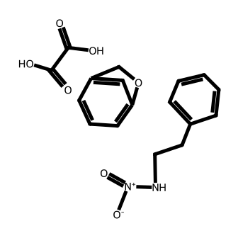 O=C(O)C(=O)O.O=[N+]([O-])NCCc1ccccc1.c1cc2cc(c1)OC2